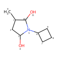 CC1CC(O)N(C2CCC2)C1O